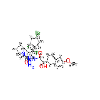 CC(C)Oc1ccc2cc([C@@H](O)C(=O)N[C@@H](C(=O)N3C4CCC3CC(N)C4)C(F)(F)c3ccc(Br)cc3)ccc2c1